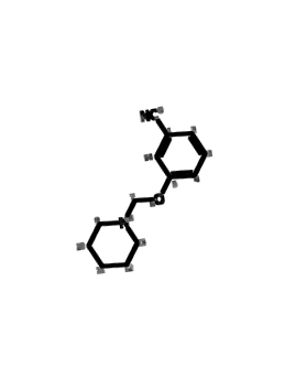 N#Cc1cccc(OCN2CCCCC2)c1